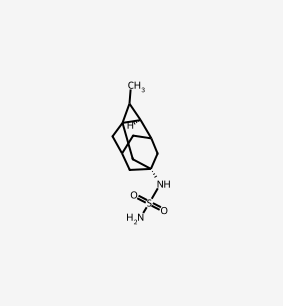 CC1[C@H]2C3CC4CC12C[C@](NS(N)(=O)=O)(C4)C3